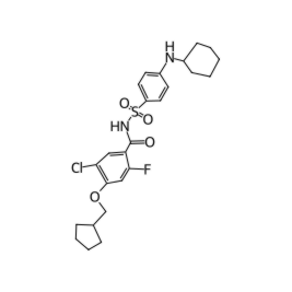 O=C(NS(=O)(=O)c1ccc(NC2CCCCC2)cc1)c1cc(Cl)c(OCC2CCCC2)cc1F